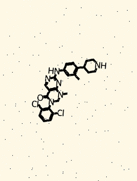 Cc1cc(Nc2ncc3c(n2)N(C)CN(c2c(Cl)cccc2Cl)C3=O)ccc1C1CCNCC1